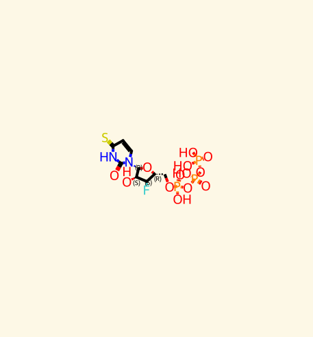 O=c1[nH]c(=S)ccn1[C@@H]1O[C@H](COP(=O)(O)OP(=O)(O)OP(=O)(O)O)[C@@H](F)[C@H]1O